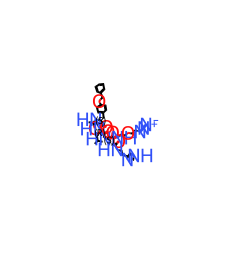 CC(=O)N[C@@H](Cc1ccc(OCc2ccccc2)cc1)C(=O)N[C@H](CC(C)C)C(=O)N[C@@H](CC(=O)NCCc1c[nH]cn1)C(=O)NCCOCCN=[N+]=[N-]